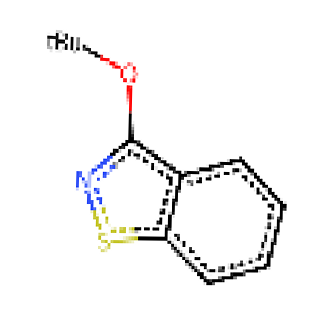 CC(C)(C)Oc1nsc2ccccc12